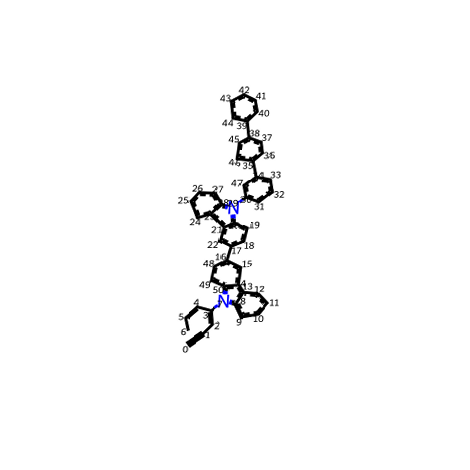 C#C/C=C(\C=C/C)n1c2ccccc2c2cc(-c3ccc4c(c3)c3ccccc3n4-c3cccc(-c4ccc(-c5ccccc5)cc4)c3)ccc21